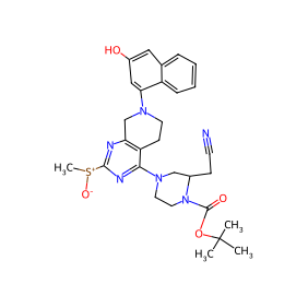 C[S+]([O-])c1nc2c(c(N3CCN(C(=O)OC(C)(C)C)C(CC#N)C3)n1)CCN(c1cc(O)cc3ccccc13)C2